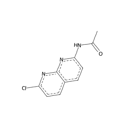 CC(=O)Nc1ccc2ccc(Cl)nc2n1